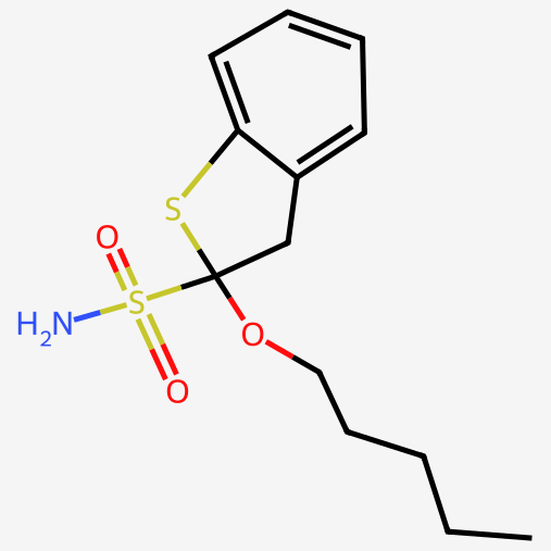 CCCCCOC1(S(N)(=O)=O)Cc2ccccc2S1